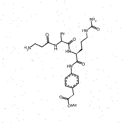 COC(=O)Cc1ccc(NC(=O)[C@H](CCCNC(N)=O)NC(=O)C(NC(=O)CCN)C(C)C)cc1